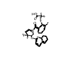 O=C(O)C(F)(F)F.O=C(c1cccc(F)c1F)N1CCC(F)(F)C(Oc2ccc3ccccc3n2)C1